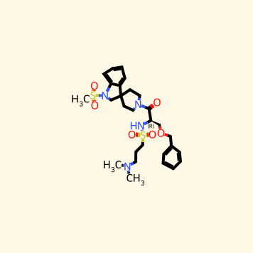 CN(C)CCCS(=O)(=O)N[C@H](COCc1ccccc1)C(=O)N1CCC2(CC1)CN(S(C)(=O)=O)c1ccccc12